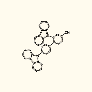 N#Cc1ccc(-c2ccc(-n3c4ccccc4c4ccccc43)cc2)c(-n2c3ccccc3c3ccccc32)c1